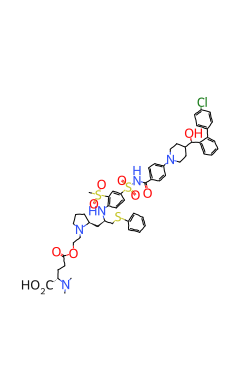 CN(C)[C@@H](CCC(=O)OCCN1CCC[C@H]1C[C@H](CSc1ccccc1)Nc1ccc(S(=O)(=O)NC(=O)c2ccc(N3CCC([C@@H](O)c4ccccc4-c4ccc(Cl)cc4)CC3)cc2)cc1S(C)(=O)=O)C(=O)O